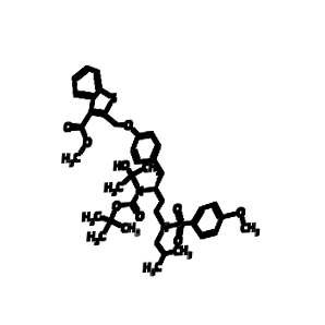 COC(=O)c1c(COc2ccc(C[C@@H](CCN(CC(C)C)S(=O)(=O)c3ccc(OC)cc3)N(C(=O)OC(C)(C)C)C(C)(C)O)cc2)sc2ccccc12